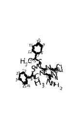 CC(SN(SC(C)c1ccccc1)c1nc(N)nc(Cl)n1)c1ccccc1